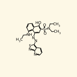 CCNc1cccc2c(O)c(S(=O)(=O)N(CC)CC)cc(/N=N/c3snc4ncccc34)c12